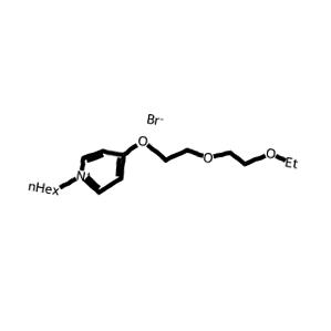 CCCCCC[n+]1ccc(OCCOCCOCC)cc1.[Br-]